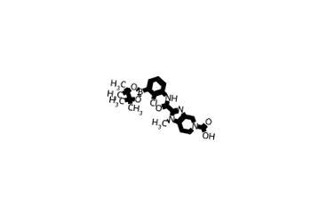 Cn1c(C(=O)Nc2cccc(B3OC(C)(C)C(C)(C)O3)c2Cl)nc2c1CCN(C(=O)O)C2